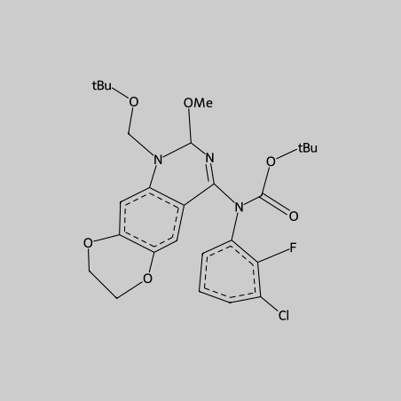 COC1N=C(N(C(=O)OC(C)(C)C)c2cccc(Cl)c2F)c2cc3c(cc2N1COC(C)(C)C)OCCO3